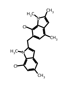 Cc1cc(Cl)c2c(c1)cc(Cc1cc(C)c3cc(C)n(C)c3c1Cl)n2C